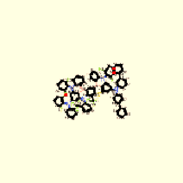 Fc1cccc(F)c1N(c1ccccc1)c1cc2c3c(c1)N(c1ccccc1C(F)(F)F)c1c(cc4c(c1C(F)(F)F)Sc1cc(N(c5ccc(-c6ccccc6)cc5)c5cccc(-c6ccccc6)c5)cc5c1B4c1ccccc1N5c1c(F)cccc1F)B3c1ccccc1N2c1c(F)cccc1F